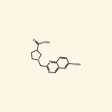 COC(=O)C1CCN(Cc2ncc3cc(OC)ccc3n2)C1